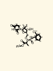 CC(C)OC(=O)C(C)N(OC[C@H]1O[C@@H](n2ccc(=O)[nH]c2=O)[C@](C)(F)[C@@H]1O)[PH](=O)Oc1ccccc1Cl